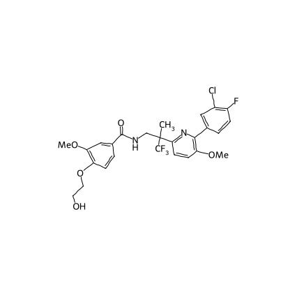 COc1cc(C(=O)NCC(C)(c2ccc(OC)c(-c3ccc(F)c(Cl)c3)n2)C(F)(F)F)ccc1OCCO